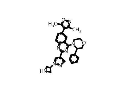 Cc1noc(C)c1-c1ccc2nc(-c3cnn(C4CNC4)c3)nc(N3CCOCC3c3ccccc3)c2c1